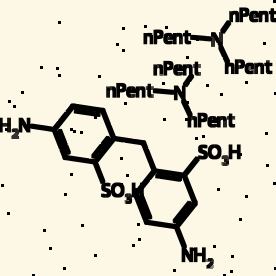 CCCCCN(CCCCC)CCCCC.CCCCCN(CCCCC)CCCCC.Nc1ccc(Cc2ccc(N)cc2S(=O)(=O)O)c(S(=O)(=O)O)c1